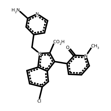 Cn1cccc(-c2c(C(=O)O)n(Cc3ccnc(N)c3)c3ccc(Cl)cc23)c1=O